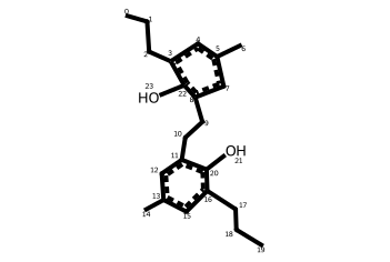 CCCc1cc(C)cc(CCc2cc(C)cc(CCC)c2O)c1O